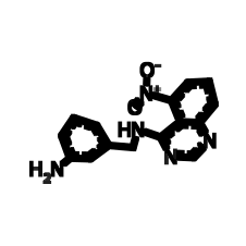 Nc1cccc(CNc2ncnc3cccc([N+](=O)[O-])c23)c1